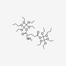 CCCOC(OCC)(OC(=O)CC[C@H](N)C(=O)OC(OCC)(OCCC)C(OCC)(OCC)OCC)C(OCC)(OCC)OCC